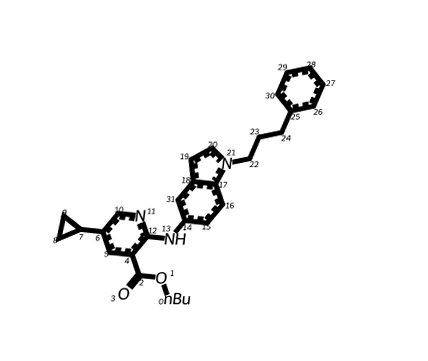 CCCCOC(=O)c1cc(C2CC2)cnc1Nc1ccc2c(ccn2CCCc2ccccc2)c1